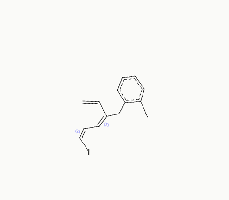 C=C/C(=C\C=C/I)Cc1ccccc1C